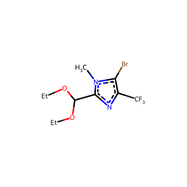 CCOC(OCC)c1nc(C(F)(F)F)c(Br)n1C